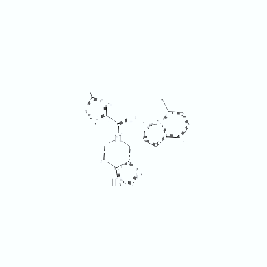 Cc1cccc2cc([C@@H]3c4nc[nH]c4CCN3C(=O)c3nnc(C(C)C)o3)nn12